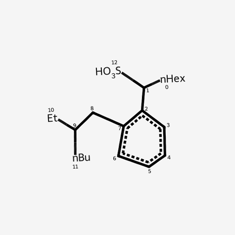 CCCCCCC(c1ccccc1CC(CC)CCCC)S(=O)(=O)O